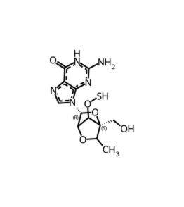 CC1OC2C(OS)[C@@]1(CO)O[C@H]2n1cnc2c(=O)[nH]c(N)nc21